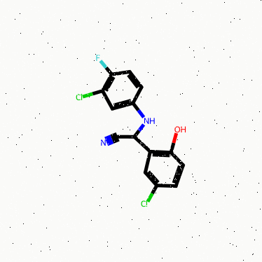 N#CC(Nc1ccc(F)c(Cl)c1)c1cc(Cl)ccc1O